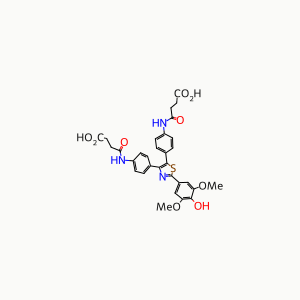 COc1cc(-c2nc(-c3ccc(NC(=O)CCC(=O)O)cc3)c(-c3ccc(NC(=O)CCC(=O)O)cc3)s2)cc(OC)c1O